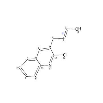 O/C=C/Cc1cc2ccccc2nc1Cl